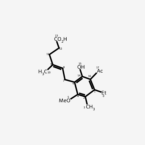 CCc1c(C)c(OC)c(C/C=C(\C)CCC(=O)O)c(O)c1C(C)=O